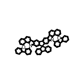 c1ccc2c(c1)-c1ccccc1C21c2cc3c(cc2-c2cc4c5ccc6ccccc6c5n(-c5cccc6c5oc5ccccc56)c4cc21)c1ccc2ccccc2c1n3-c1cccc2c1oc1ccccc12